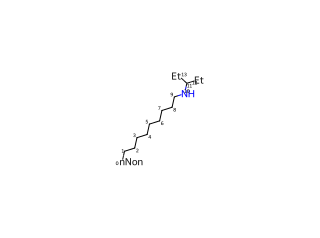 CCCCCCCCCCCCCCCCCCNC(CC)CC